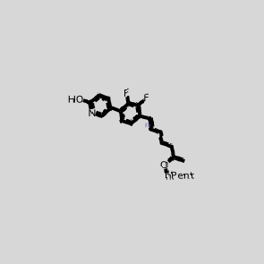 CCCCCOC(C)CCC/C=C/c1ccc(-c2ccc(O)nc2)c(F)c1F